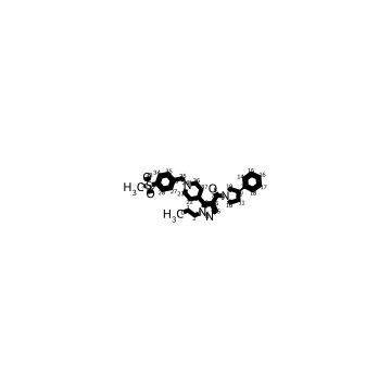 CCCn1ncc(C(=O)N2CC[C@H](c3ccccc3)C2)c1C1CCN(Cc2ccc(S(C)(=O)=O)cc2)CC1